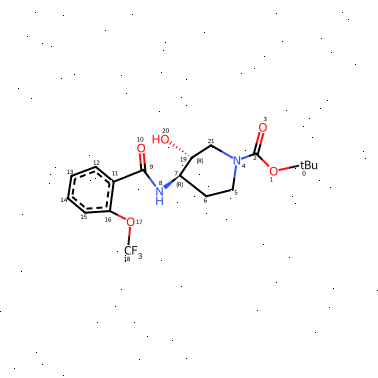 CC(C)(C)OC(=O)N1CC[C@@H](NC(=O)c2ccccc2OC(F)(F)F)[C@H](O)C1